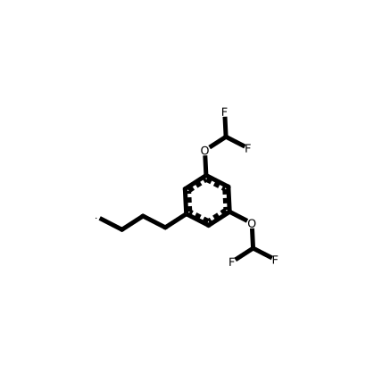 [CH2]CCCc1cc(OC(F)F)cc(OC(F)F)c1